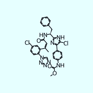 COC(=O)Nc1ccc(-c2nc([C@H](Cc3ccccc3)NC(=O)/C=C(/C)c3cc(Cl)ccc3-n3cnnn3)[nH]c2Cl)cc1